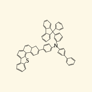 C1=CC2CC(c3ccc(N(c4ccc(-c5ccccc5)cc4)c4cccc(C5(c6ccccc6)c6ccccc6-c6ccccc65)c4)cc3)=CC=C2c2c1ccc1c2sc2ccccc21